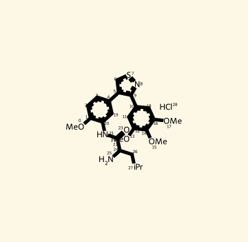 COc1ccc(-c2csnc2-c2cc(OC)c(OC)c(OC)c2)cc1NC(=O)C(N)CC(C)C.Cl